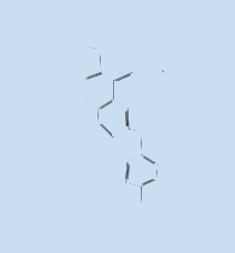 COC(=O)/C(=C/CO)c1cc(Sc2ccc(Cl)cc2)ccc1C